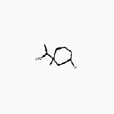 CC(S)C1(C)CCCC(S)C1